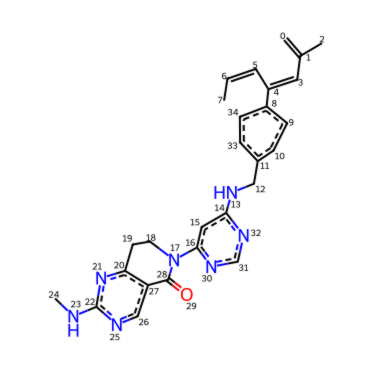 C=C(C)/C=C(\C=C/C)c1ccc(CNc2cc(N3CCc4nc(NC)ncc4C3=O)ncn2)cc1